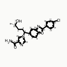 C[C@H](O)CCC(c1ccc2oc(-c3ccc(Cl)cc3)nc2c1)n1cnc(C(N)=O)c1